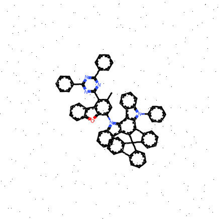 Cc1cc(-n2c3ccccc3c3c4c(c5c(c6ccccc6n5-c5ccccc5)c32)-c2ccccc2C42c3ccccc3-c3ccccc32)c2oc3ccccc3c2c1-c1nc(-c2ccccc2)nc(-c2ccccc2)n1